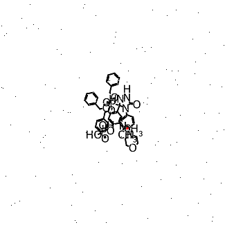 CC(C)c1cc(C2(P(=O)(OCc3ccccc3)OCc3ccccc3)NNC(=O)N2c2ccc(N3CCOCC3)nc2)c(OCc2ccccc2)cc1OP(=O)(O)O